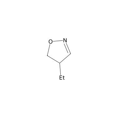 [CH2]CC1C=NOC1